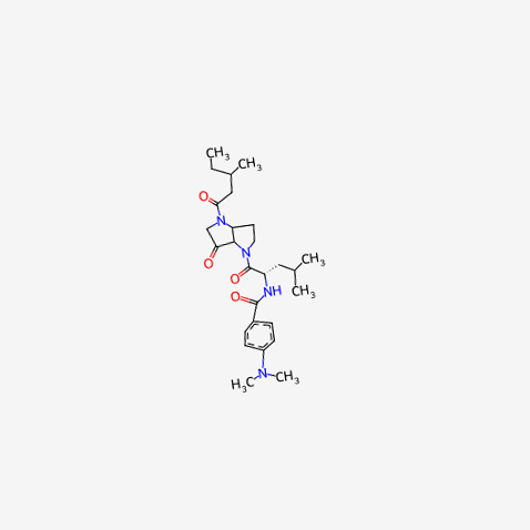 CCC(C)CC(=O)N1CC(=O)C2C1CCN2C(=O)[C@H](CC(C)C)NC(=O)c1ccc(N(C)C)cc1